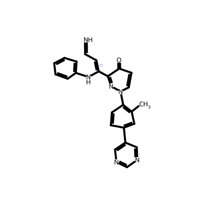 Cc1cc(-c2cncnc2)ccc1-n1ccc(=O)c(/C(=C/C=N)Nc2ccccc2)n1